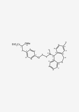 CCOC(=O)C(Cc1ccc(OCCN(C)C2c3ccccc3CCc3cc(C)ccc32)cc1)OC